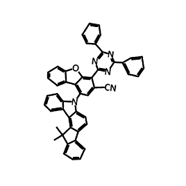 CC1(C)c2ccccc2-c2ccc3c(c21)c1ccccc1n3-c1cc(C#N)c(-c2nc(-c3ccccc3)nc(-c3ccccc3)n2)c2oc3ccccc3c12